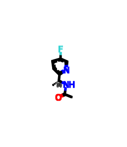 CC(=O)N[C@H](C)c1ccc(F)cn1